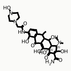 CC1c2ccc(NC(=O)CN3CCN(O)CC3)c(O)c2C(=O)C2=C(O)[C@]3(O)C(=O)C(C(N)=O)=C(O)[C@@H](N(C)C)C3C(O)C21